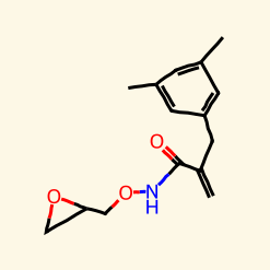 C=C(Cc1cc(C)cc(C)c1)C(=O)NOCC1CO1